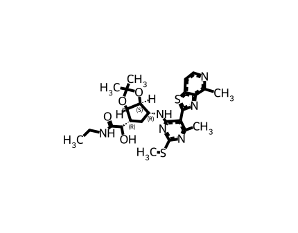 CCNC(=O)C(O)[C@H]1C[C@@H](Nc2nc(SC)nc(C)c2-c2nc3c(C)nccc3s2)[C@@H]2OC(C)(C)O[C@@H]21